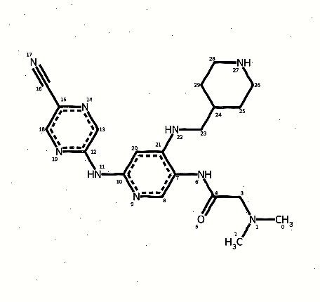 CN(C)CC(=O)Nc1cnc(Nc2cnc(C#N)cn2)cc1NCC1CCNCC1